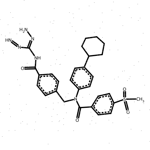 CS(=O)(=O)c1ccc(C(=O)N(Cc2ccc(C(=O)N/C(N=N)=N/N)cc2)c2ccc(C3CCCCC3)cc2)cc1